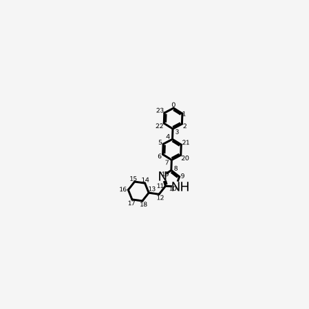 c1ccc(-c2ccc(-c3c[nH]c(CC4CCCCC4)n3)cc2)cc1